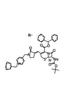 CC(C)(C)OC(=O)N[C@@H]1C(=O)N2C(C(=O)OC(c3ccccc3)c3ccccc3)=C(C=C3CCN(Cc4cc[n+](Cc5ccccc5)cc4)C3=O)CS[C@H]12.[Br-]